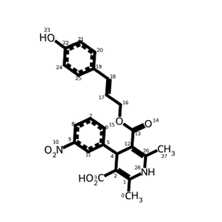 CC1=C(C(=O)O)C(c2cccc([N+](=O)[O-])c2)C(C(=O)OCC=Cc2ccc(O)cc2)=C(C)N1